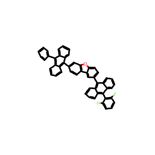 Fc1cccc(F)c1-c1c2ccccc2c(-c2ccc3oc4cc(-c5c6ccccc6c(-c6ccccc6)c6ccccc56)ccc4c3c2)c2ccccc12